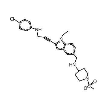 CCn1c(C#CCNc2ccc(Cl)cc2)cc2cc(CNC3CCN(S(C)(=O)=O)CC3)ccc21